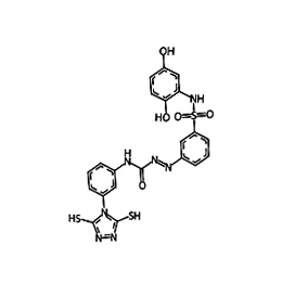 O=C(N=Nc1cccc(S(=O)(=O)Nc2cc(O)ccc2O)c1)Nc1cccc(-n2c(S)nnc2S)c1